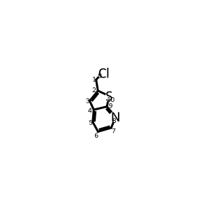 ClCc1cc2cccnc2s1